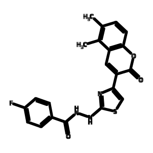 Cc1ccc2oc(=O)c(-c3csc(NNC(=O)c4ccc(F)cc4)n3)cc2c1C